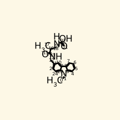 CCn1c2ccccc2c2cc(CNC(=O)C(C)CNC(=O)O)ccc21